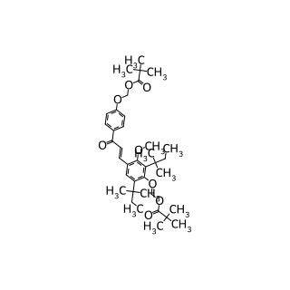 CCC(C)(C)c1cc(C=CC(=O)c2ccc(OCOC(=O)C(C)(C)C)cc2)c(OC)c(C(C)(C)CC)c1OCOC(=O)C(C)(C)C